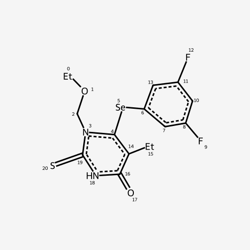 CCOCn1c([Se]c2cc(F)cc(F)c2)c(CC)c(=O)[nH]c1=S